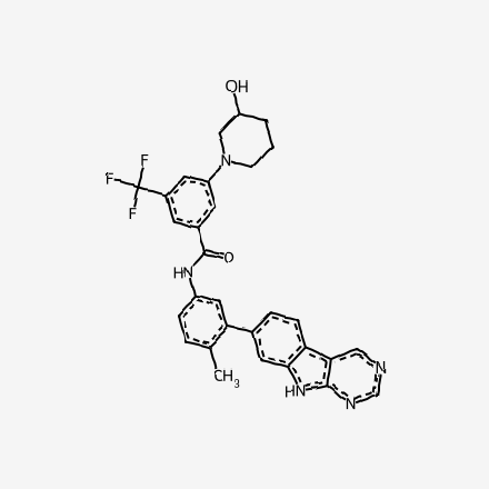 Cc1ccc(NC(=O)c2cc(N3CCCC(O)C3)cc(C(F)(F)F)c2)cc1-c1ccc2c(c1)[nH]c1ncncc12